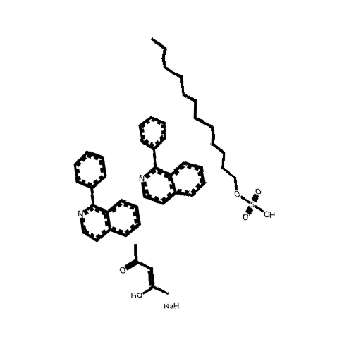 CC(=O)/C=C(/C)O.CCCCCCCCCCCCOS(=O)(=O)O.[NaH].c1ccc(-c2nccc3ccccc23)cc1.c1ccc(-c2nccc3ccccc23)cc1